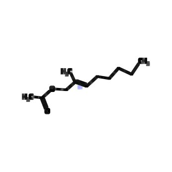 CCCCC/C=C(\C)COC(C)=O